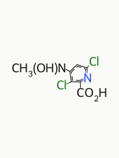 CN(O)c1cc(Cl)nc(C(=O)O)c1Cl